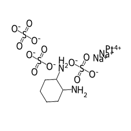 NC1CCCCC1N.O=S(=O)([O-])[O-].O=S(=O)([O-])[O-].O=S(=O)([O-])[O-].[Na+].[Na+].[Pt+4]